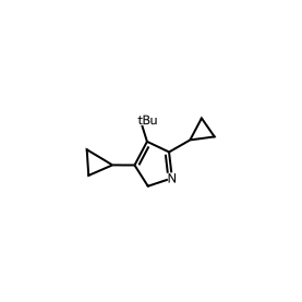 CC(C)(C)C1=C(C2CC2)CN=C1C1CC1